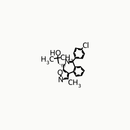 Cc1noc2c1-c1ccccc1C(c1ccc(Cl)cc1)=N[C@H]2CC(C)(C)O